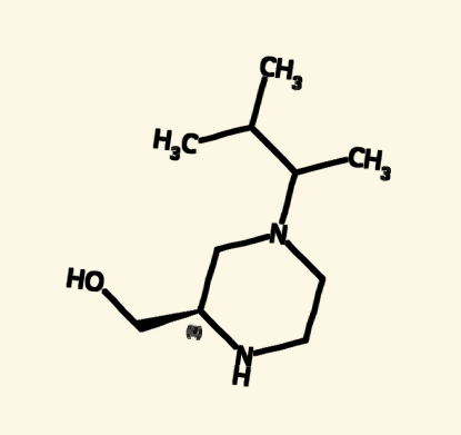 CC(C)C(C)N1CCN[C@@H](CO)C1